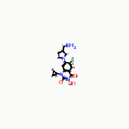 NCC1CCN(c2cc3c(cc2F)c(=O)n(O)c(=O)n3C2CC2)C1